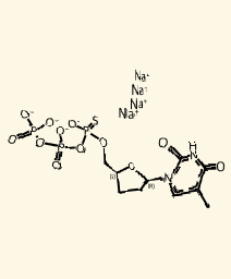 Cc1cn([C@H]2CC[C@@H](COP([O-])(=S)OP(=O)([O-])OP(=O)([O-])[O-])O2)c(=O)[nH]c1=O.[Na+].[Na+].[Na+].[Na+]